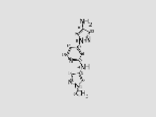 Cn1cc(Nc2cc(-n3cc(N)cn3)ccn2)cn1